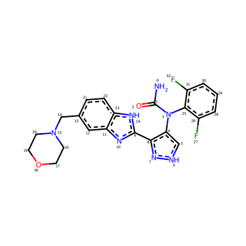 NC(=O)N(c1c[nH]nc1-c1nc2cc(CN3CCOCC3)ccc2[nH]1)c1c(F)cccc1F